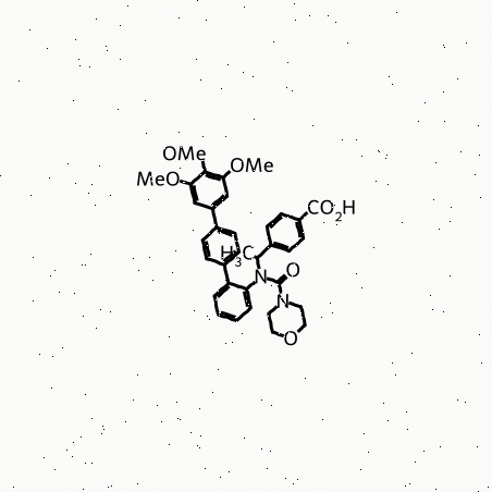 COc1cc(-c2ccc(-c3ccccc3N(C(=O)N3CCOCC3)C(C)c3ccc(C(=O)O)cc3)cc2)cc(OC)c1OC